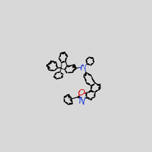 c1ccc(-c2nc3ccc4ccc5cc(N(c6ccccc6)c6ccc7c(c6)-c6ccccc6C7(c6ccccc6)c6ccccc6)ccc5c4c3o2)cc1